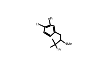 CCCc1cc(CC(NC)C(C)(C)CCC)ccc1CC